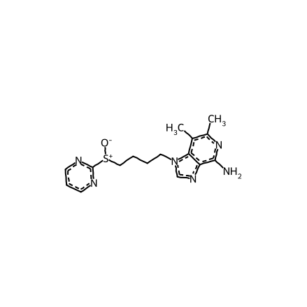 Cc1nc(N)c2ncn(CCCC[S+]([O-])c3ncccn3)c2c1C